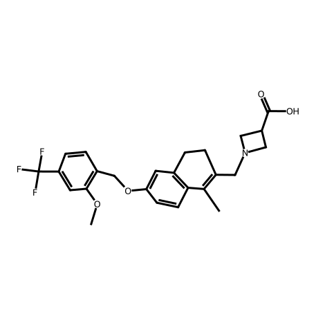 COc1cc(C(F)(F)F)ccc1COc1ccc2c(c1)CCC(CN1CC(C(=O)O)C1)=C2C